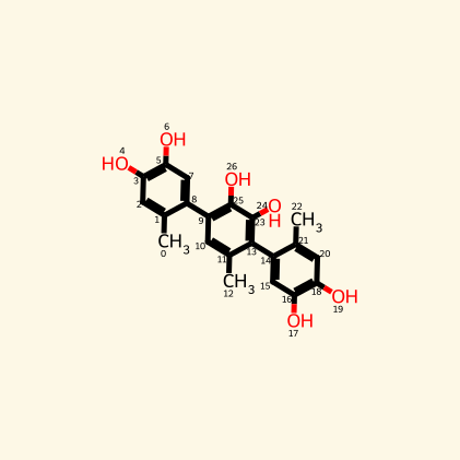 Cc1cc(O)c(O)cc1-c1cc(C)c(-c2cc(O)c(O)cc2C)c(O)c1O